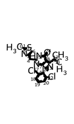 Cc1nc(Cc2nc3c(c(C(C)C)nn3-c3c(Cl)cccc3Cl)c(=O)[nH]2)cs1